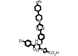 CCCC1CCC(C2CCN(c3cnc(-c4ccc(C[C@H](NC(=O)c5ccc(CC)cc5)C(=O)N5CC(C(=O)O)C5)cc4)nc3)CC2)CC1